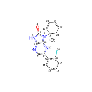 CCC1(n2c(=O)[nH]c3ncc(-c4ccccc4F)nc32)C=CC=CC1